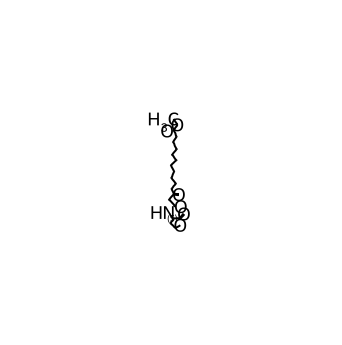 COC(=O)CCCCCCCCCCC(=O)CC(=O)N[C@H]1CCOC1=O